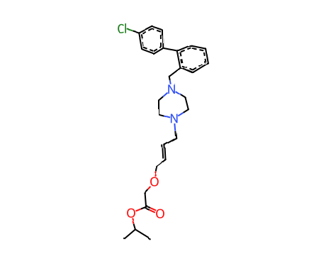 CC(C)OC(=O)COCC=CCN1CCN(Cc2ccccc2-c2ccc(Cl)cc2)CC1